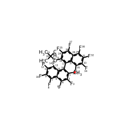 Cc1c(F)c(F)c2c(F)c(F)c(F)c(F)c2c1-c1c(OC(C)(C)C)c(F)c(F)c2c(F)c(F)c(F)c(F)c12